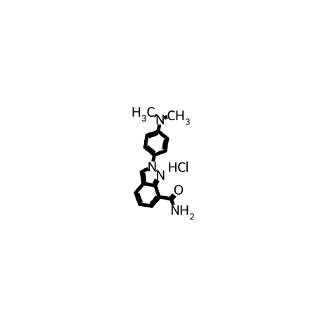 CN(C)c1ccc(-n2cc3cccc(C(N)=O)c3n2)cc1.Cl